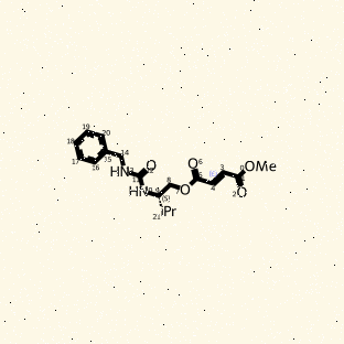 COC(=O)/C=C/C(=O)OC[C@@H](NC(=O)NCc1ccccc1)C(C)C